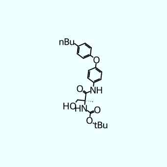 CCCCc1ccc(Oc2ccc(NC(=O)[C@](C)(CO)NC(=O)OC(C)(C)C)cc2)cc1